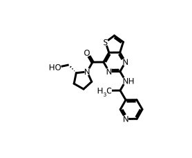 CC(Nc1nc(C(=O)N2CCC[C@@H]2CO)c2sccc2n1)c1cccnc1